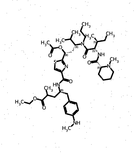 CCCN(C(=O)[C@@H](NC(=O)[C@H]1CCCCN1C)[C@@H](C)CC)[C@H](C[C@@H](OC(C)=O)c1nc(C(=O)N[C@@H](Cc2ccc(NC)cc2)CC(C)C(=O)OCC)cs1)C(C)C